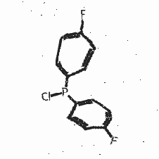 Fc1ccc(P(Cl)c2ccc(F)cc2)cc1